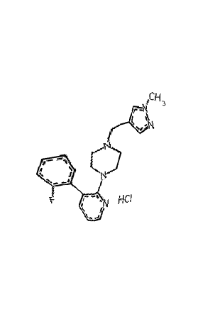 Cl.Cn1cc(CN2CCN(c3ncccc3-c3ccccc3F)CC2)cn1